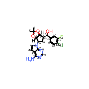 CC1(C)O[C@@H]2[C@H](O1)[C@@H](C(O)c1ccc(Cl)c(F)c1)C[C@H]2n1ccc2c(N)ncnc21